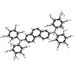 Fc1c(F)c(F)c(N(c2ccc3c(ccc4cc(N(c5c(F)c(F)c(F)c(F)c5F)c5c(F)c(F)c(C(F)(F)F)c(F)c5F)ccc43)c2)c2c(F)c(F)c(C(F)(F)F)c(F)c2F)c(F)c1F